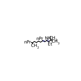 C=C(CCC)CCCC/C(=C/C(N)=C(\CC)C(=C)C)CCC